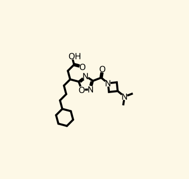 CN(C)C1CN(C(=O)c2noc(C(CCCC3CCCCC3)CC(=O)O)n2)C1